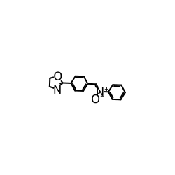 [O-][N+](=Cc1ccc(C2=NCCO2)cc1)c1ccccc1